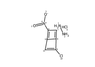 Cl.NN.O=[N+]([O-])c1cc2c(Cl)cc1-2